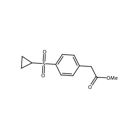 COC(=O)Cc1ccc(S(=O)(=O)C2CC2)cc1